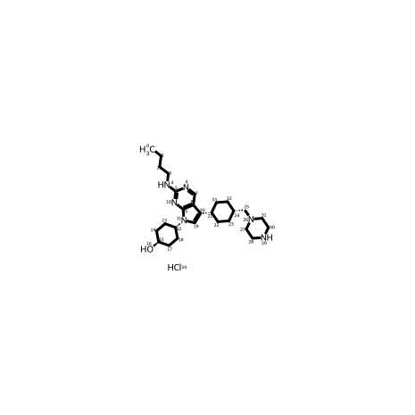 CCCCNc1ncc2c(n1)n([C@H]1CC[C@H](O)CC1)cc2[C@H]1CC[C@@H](CN2CCNCC2)CC1.Cl